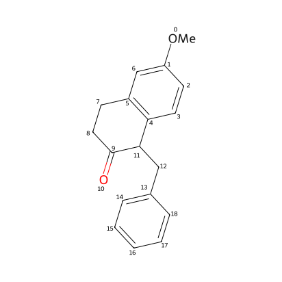 COc1ccc2c(c1)CCC(=O)C2Cc1ccccc1